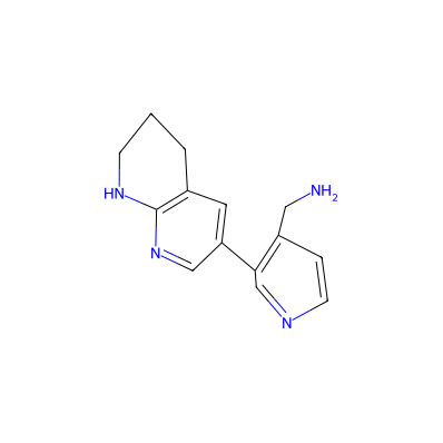 NCc1ccncc1-c1cnc2c(c1)CCCN2